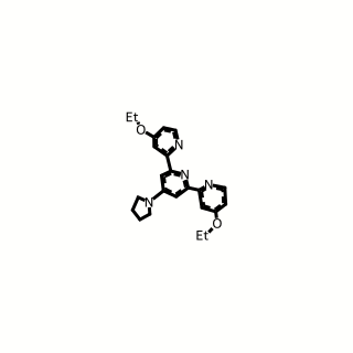 CCOc1ccnc(-c2cc(N3CCCC3)cc(-c3cc(OCC)ccn3)n2)c1